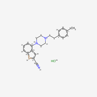 Cc1ccc(CCN2CCN(c3cccc4sc(C#N)cc34)CC2)cc1.Cl